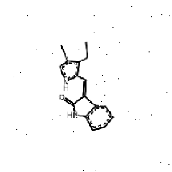 CCc1c(C)c[nH]c1/C=C1\C(=O)Nc2ccccc21